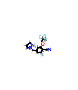 N#Cc1c(F)cc(Cn2cccn2)cc1OCC(F)(F)F